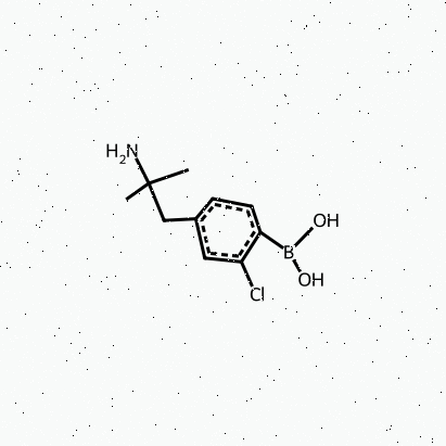 CC(C)(N)Cc1ccc(B(O)O)c(Cl)c1